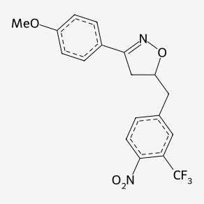 COc1ccc(C2=NOC(Cc3ccc([N+](=O)[O-])c(C(F)(F)F)c3)C2)cc1